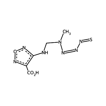 CN(CNc1nonc1C(=O)O)/N=N\N=S